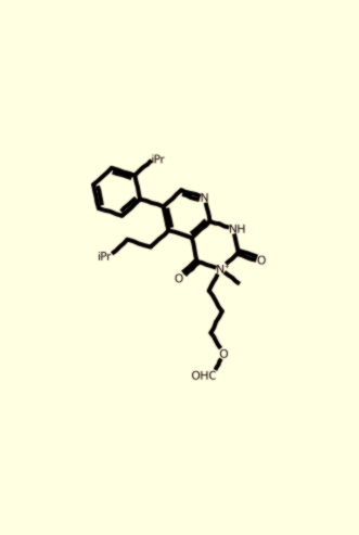 CC(C)CCc1c(-c2ccccc2C(C)C)cnc2c1C(=O)[N+](C)(CCCOC=O)C(=O)N2